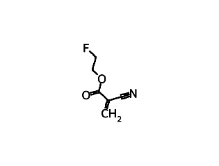 C=C(C#N)C(=O)OCCF